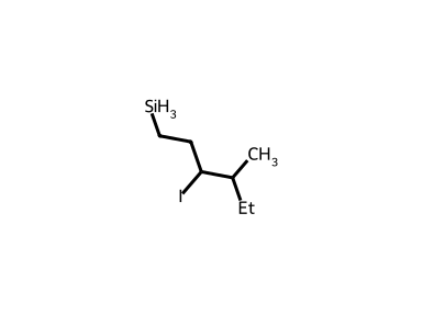 CCC(C)C(I)CC[SiH3]